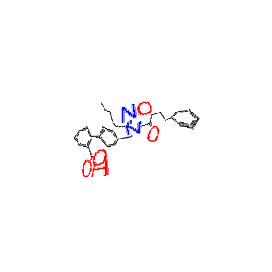 CCCCC1=NOC(CCc2ccccc2)C(=O)N1Cc1ccc(-c2ccccc2C(=O)O)cc1